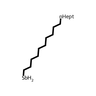 CCCCCCCCCCCCCCCC[CH2][SbH2]